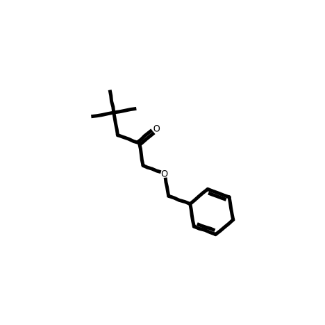 CC(C)(C)CC(=O)COCC1C=CCC=C1